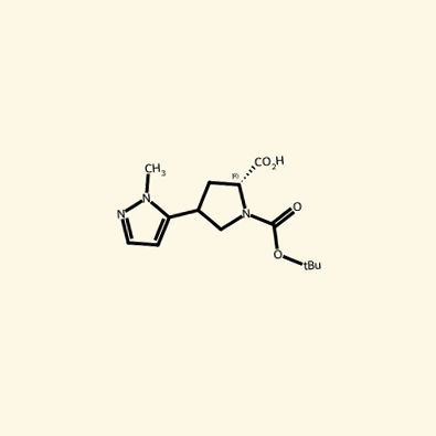 Cn1nccc1C1C[C@H](C(=O)O)N(C(=O)OC(C)(C)C)C1